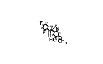 COc1cc2ncnc(Nc3ccc(F)cc3F)c2cc1O